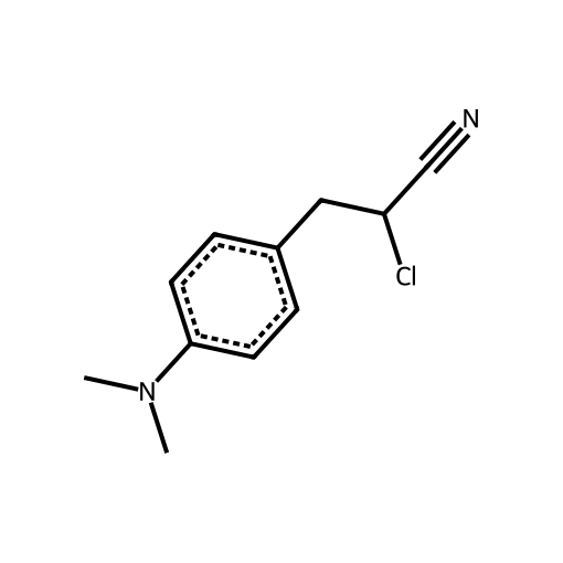 CN(C)c1ccc(CC(Cl)C#N)cc1